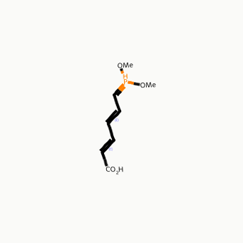 CO[PH](=C/C=C/C=C/C(=O)O)OC